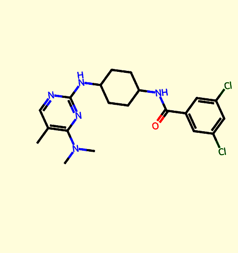 Cc1cnc(NC2CCC(NC(=O)c3cc(Cl)cc(Cl)c3)CC2)nc1N(C)C